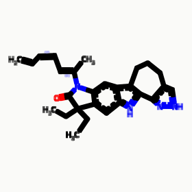 C=C/C=C\C=C(/C)N1C(=O)C(CC)(CC)c2cc3[nH]c4c(c3cc21)CCCc1c[nH]nc1-4